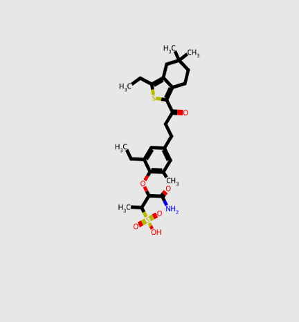 CCc1cc(CCC(=O)c2sc(CC)c3c2CCC(C)(C)C3)cc(C)c1OC(C(N)=O)C(C)S(=O)(=O)O